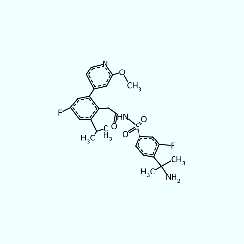 COc1cc(-c2cc(F)cc(C(C)C)c2CC(=O)NS(=O)(=O)c2ccc(C(C)(C)N)c(F)c2)ccn1